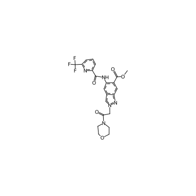 COC(=O)c1cc2nn(CC(=O)N3CCOCC3)cc2cc1NC(=O)c1cccc(C(F)(F)F)n1